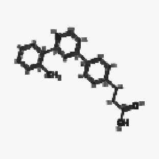 Cc1ccccc1-c1cc(-c2ccc(CCC(=O)O)cc2)ccn1